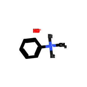 CC[N+](C)(CC)c1ccccc1.[OH-]